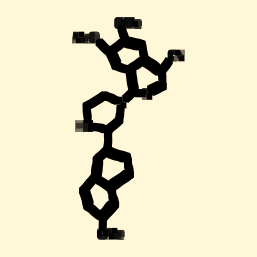 COc1ccc2cc(C3CN(c4ncc(C#N)c5cc(OC)c(OC)cc45)CCN3)ccc2c1